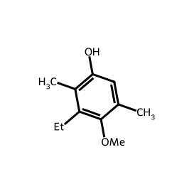 CCc1c(C)c(O)cc(C)c1OC